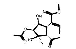 C/C=C(/C(=O)OC)[C@H]1[C@H](O)[C@H](OC(C)=O)[C@](C)(O)[C@H]1C(C)=O